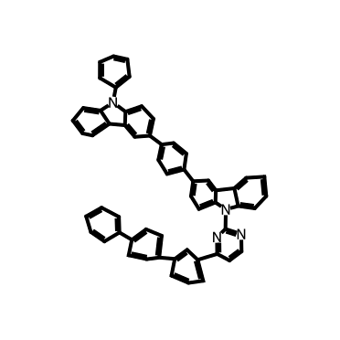 c1ccc(-c2ccc(-c3cccc(-c4ccnc(-n5c6ccccc6c6cc(-c7ccc(-c8ccc9c(c8)c8ccccc8n9-c8ccccc8)cc7)ccc65)n4)c3)cc2)cc1